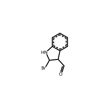 O=CC1c2ccccc2NC1Br